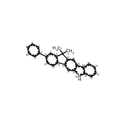 CC1(C)c2cc(-c3ccccc3)ccc2-c2cc3[nH]c4ccccc4c3cc21